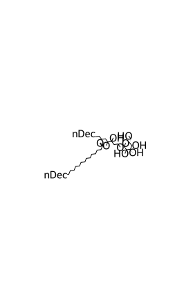 CCCCCCCCCCCCCCCCCCCCCCCC(=O)OC(CCCCCCCCCCCCCC)C(O)CCO[C@H]1O[C@H](CO)[C@H](O)[C@H](O)[C@H]1O